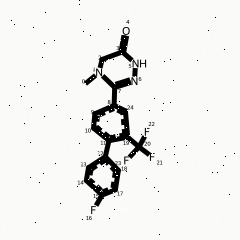 CN1CC(=O)NN=C1c1ccc(-c2ccc(F)cc2)c(C(F)(F)F)c1